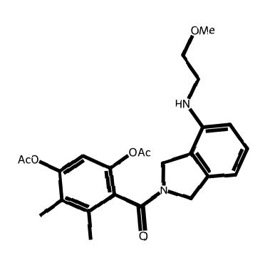 COCCNc1cccc2c1CN(C(=O)c1c(OC(C)=O)cc(OC(C)=O)c(C)c1C)C2